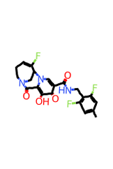 Cc1cc(F)c(CNC(=O)c2cn3c(c(O)c2=O)C(=O)N2CCC=C(F)C3C2)c(F)c1